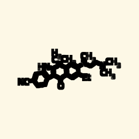 CCc1cc2c(cc1N(C)CCN(C)C)C(C)(C)c1[nH]c3cc(C#N)ccc3c1C2=O